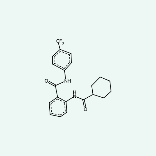 O=C(Nc1ccc(C(F)(F)F)cc1)c1ccccc1NC(=O)C1CCCCC1